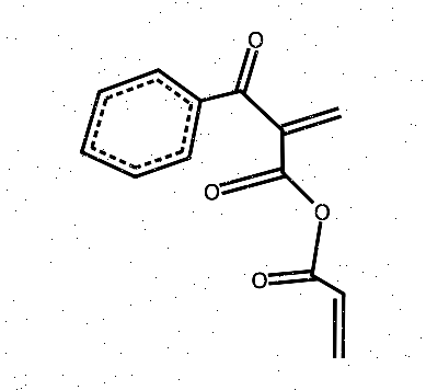 C=CC(=O)OC(=O)C(=C)C(=O)c1ccccc1